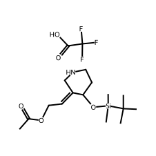 CC(=O)OC/C=C1\CNCCC1O[Si](C)(C)C(C)(C)C.O=C(O)C(F)(F)F